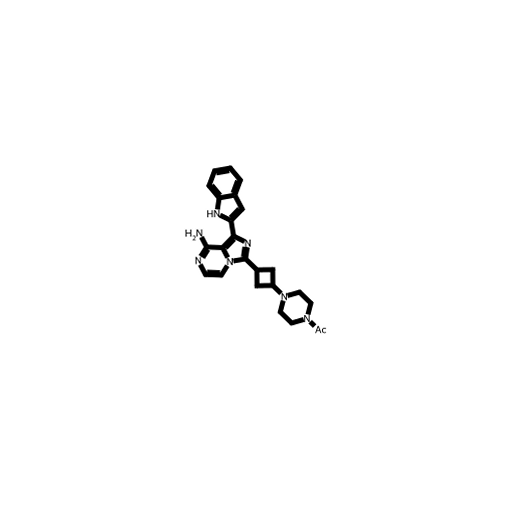 CC(=O)N1CCN(C2CC(c3nc(-c4cc5ccccc5[nH]4)c4c(N)nccn34)C2)CC1